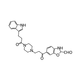 O=CC1Nc2ccc(C(=O)CCN3CCN(C(=O)CCc4c[nH]c5ccccc45)CC3)cc2O1